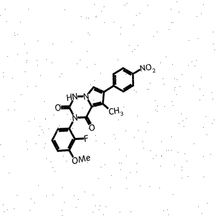 COc1cccc(-n2c(=O)[nH]n3cc(-c4ccc([N+](=O)[O-])cc4)c(C)c3c2=O)c1F